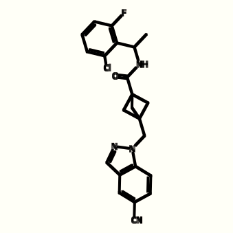 CC(NC(=O)C12CC(Cn3ncc4cc(C#N)ccc43)(C1)C2)c1c(F)cccc1Cl